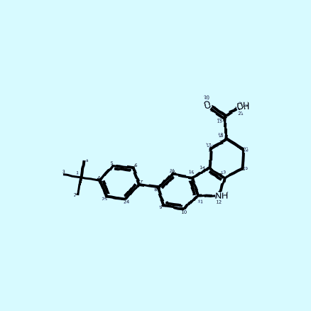 CC(C)(C)c1ccc(-c2ccc3[nH]c4c(c3c2)CC(C(=O)O)CC4)cc1